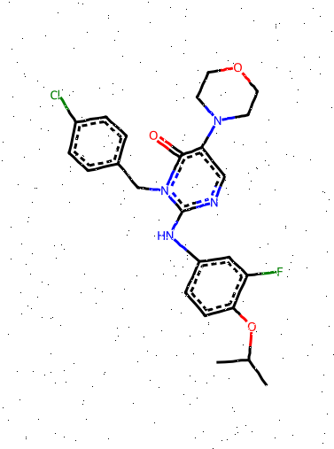 CC(C)Oc1ccc(Nc2ncc(N3CCOCC3)c(=O)n2Cc2ccc(Cl)cc2)cc1F